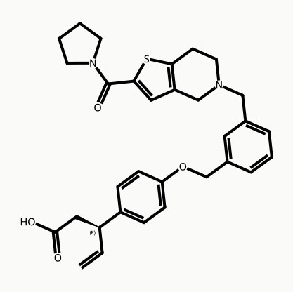 C=C[C@@H](CC(=O)O)c1ccc(OCc2cccc(CN3CCc4sc(C(=O)N5CCCC5)cc4C3)c2)cc1